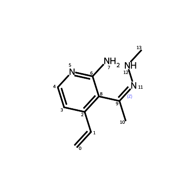 C=Cc1ccnc(N)c1/C(C)=N\NC